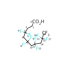 O=C(O)CCC(F)(F)CC(F)(F)CC(F)(F)CC(F)(F)C(F)(F)F